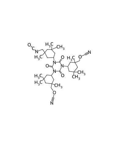 CC1(C)CC(n2c(=O)n(C3CC(C)(C)CC(C)(COC#N)C3)c(=O)n(C3CC(C)(C)CC(C)(COC#N)C3)c2=O)CC(C)(CN=C=O)C1